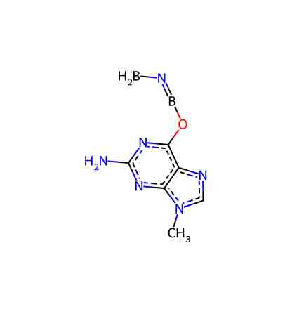 BN=BOc1nc(N)nc2c1ncn2C